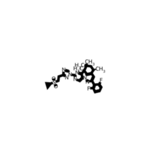 C[C@@H]1CC(C)(C)[C@@](C)(c2ccnc(-n3cnc(CCS(=O)(=O)C4CC4)n3)n2)c2nnc(-c3c(F)cccc3F)cc21